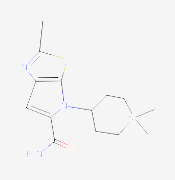 Cc1nc2cc(C(N)=O)n(C3CC[Si](C)(C)CC3)c2s1